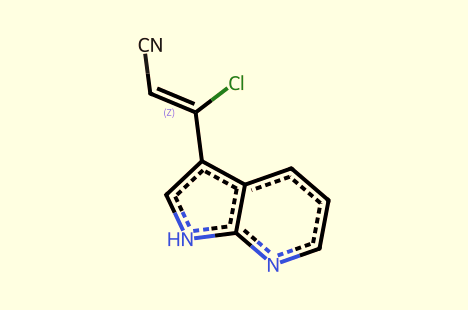 N#C/C=C(\Cl)c1c[nH]c2ncccc12